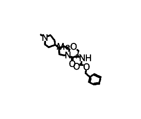 COC[C@@H](NC(=O)OCc1ccccc1)C(=O)N1CCC(C2CCN(C)CC2)CC1